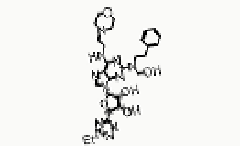 CCn1nnc([C@H]2O[C@@H](n3cnc4c(NCCN5CCOCC5)nc(N(CO)CCc5ccccc5)nc43)[C@H](O)[C@@H]2O)n1